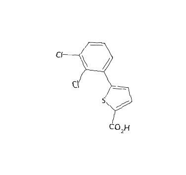 O=C(O)c1ccc(-c2cccc(Cl)c2Cl)s1